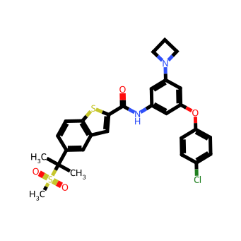 CC(C)(c1ccc2sc(C(=O)Nc3cc(Oc4ccc(Cl)cc4)cc(N4CCC4)c3)cc2c1)S(C)(=O)=O